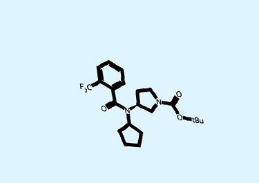 CC(C)(C)OC(=O)N1CC[C@H](N(C(=O)c2ccccc2C(F)(F)F)C2CCCC2)C1